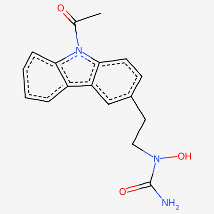 CC(=O)n1c2ccccc2c2cc(CCN(O)C(N)=O)ccc21